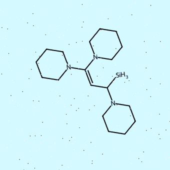 [SiH3]C(C=C(N1CCCCC1)N1CCCCC1)N1CCCCC1